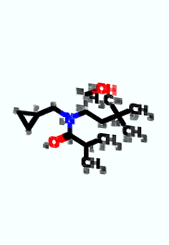 CC(C)C(=O)N(CC1CC1)[C@H](CO)CC(C)(C)C